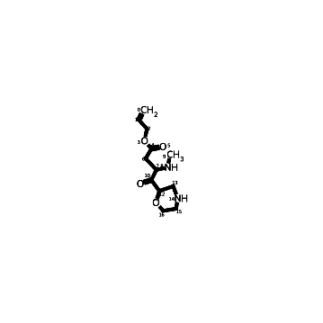 C=CCOC(=O)CC(NC)C(=O)C1CNCCO1